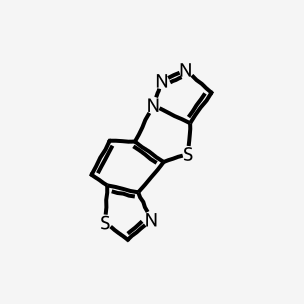 c1nc2c(ccc3c2sc2cnnn23)s1